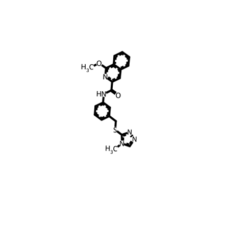 COc1nc(C(=O)Nc2cccc(CSc3nncn3C)c2)cc2ccccc12